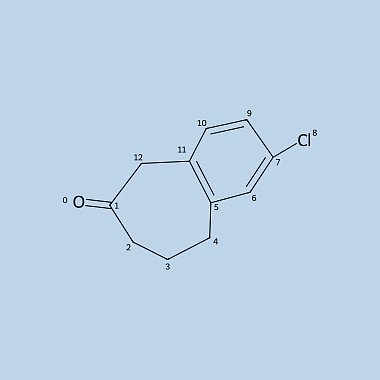 O=C1CCCc2cc(Cl)ccc2C1